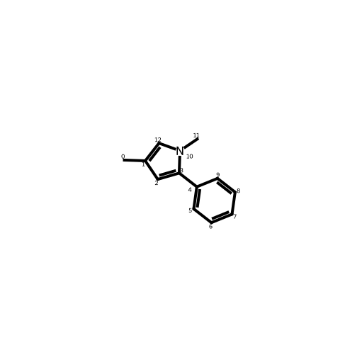 Cc1cc(-c2ccccc2)n(C)c1